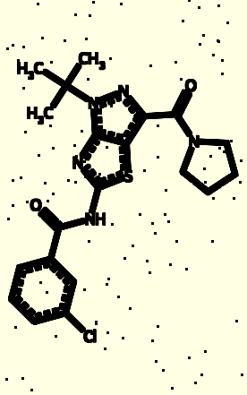 CC(C)(C)n1nc(C(=O)N2CCCC2)c2sc(NC(=O)c3cccc(Cl)c3)nc21